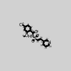 COc1cc(Cl)ccc1C(=O)NS(=O)(=O)/C=C/c1cccnc1